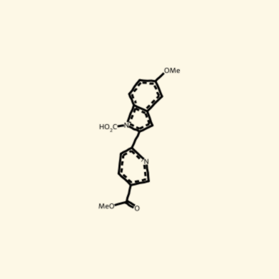 COC(=O)c1ccc(-c2cc3cc(OC)ccc3n2C(=O)O)nc1